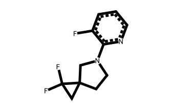 Fc1cccnc1N1CCC2(C1)CC2(F)F